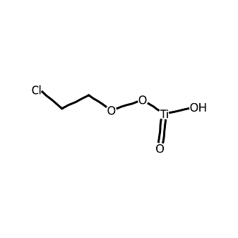 [O]=[Ti]([OH])[O]OCCCl